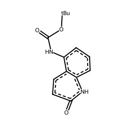 CC(C)(C)OC(=O)Nc1cccc2[nH]c(=O)ccc12